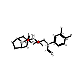 CCOC(=O)N1C2CCC1CC(NCCN(C=O)c1ccc(C)c(C)c1)C2